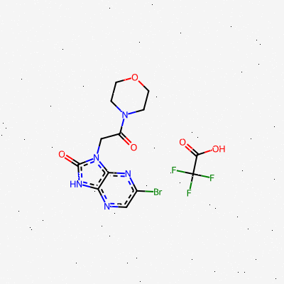 O=C(Cn1c(=O)[nH]c2ncc(Br)nc21)N1CCOCC1.O=C(O)C(F)(F)F